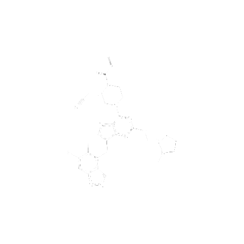 C=CC(=O)N1CCN(c2nc(OC[C@@H]3CCCN3C)nc3c(Cc4c(Cl)c(F)cc5[nH]ncc45)c[nH]c23)C[C@@H]1CC#N